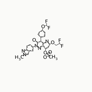 Cn1cc2cc(-n3nc4c(OS(C)(=O)=O)cc(OCC(F)F)nc4c(-c4ccc(OC(F)F)cc4)c3=O)ccc2n1